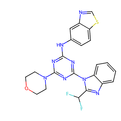 FC(F)c1nc2ccccc2n1-c1nc(Nc2ccc3scnc3c2)nc(N2CCOCC2)n1